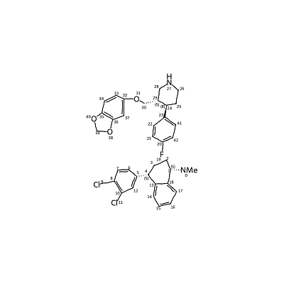 CN[C@H]1CC[C@@H](c2ccc(Cl)c(Cl)c2)c2ccccc21.Fc1ccc([C@@H]2CCNC[C@H]2COc2ccc3c(c2)OCO3)cc1